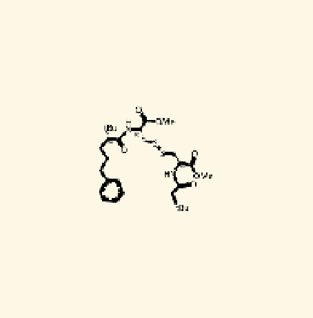 COC(=O)[C@H](CSSC[C@H](NC(=O)[C@H](CCCc1ccccc1)C(C)(C)C)C(=O)OC)NC(=O)CC(C)(C)C